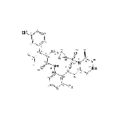 CC(C)[C@H](c1cccc(Cl)c1)[C@H](N)C(=O)Nc1cccc(F)c1CC[C@H]1CNC[C@H](C)N1S(=O)(=O)C1CC1